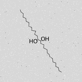 CCCCCCCCCCCCCCC(O)C(O)CCCCCCCCCCCCC